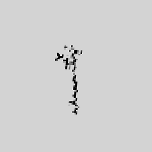 CCOC(=O)CCCCCCCOC[C@H](CCC(N)=O)NC(=O)OC(C)(C)C